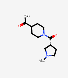 CC(C)(C)C(=O)C1CCN(C(=O)[C@@H]2CCN(C(C)(C)C)C2)CC1